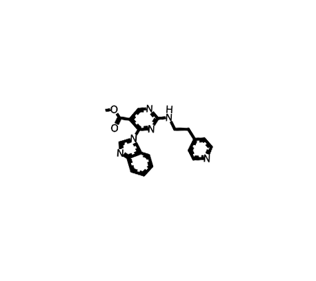 COC(=O)c1cnc(NCCc2ccncc2)nc1-n1cnc2ccccc21